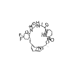 CC(C)[C@@H]1NC(=O)C2(/C=C/c3ccc4ccc(nc4c3)[C@@H](C)OC(=O)[C@@H]3CCCN(N3)C(=O)[C@H](C)NC1=O)CCC(F)(F)CC2